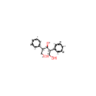 O=C(C(CO)c1ccccc1)C(CO)c1ccccc1